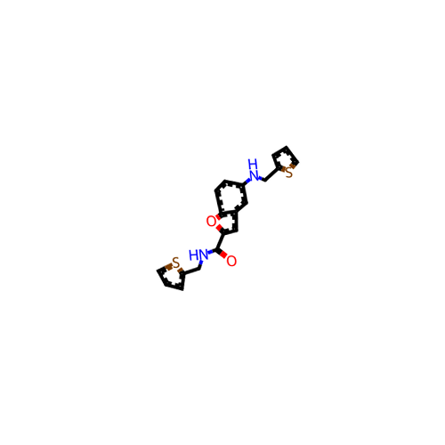 O=C(NCc1cccs1)c1cc2cc(NCc3cccs3)ccc2o1